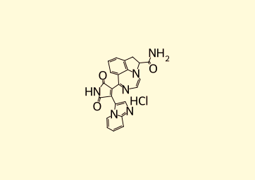 Cl.NC(=O)C1Cc2cccc3c2N1C=CN=C3C1=C(c2cnc3ccccn23)C(=O)NC1=O